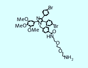 COc1cc(-c2nc(-c3ccc(Br)cc3)c(-c3ccc(Br)cc3)n2Cc2ccc(C(=O)NCCOCCOCCN)cc2)cc(OC)c1OC